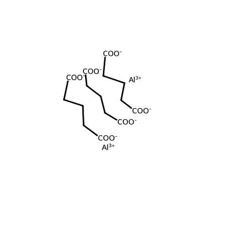 O=C([O-])CCCC(=O)[O-].O=C([O-])CCCC(=O)[O-].O=C([O-])CCCC(=O)[O-].[Al+3].[Al+3]